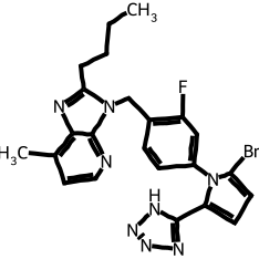 CCCCc1nc2c(C)ccnc2n1Cc1ccc(-n2c(Br)ccc2-c2nnn[nH]2)cc1F